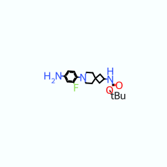 CC(C)(C)OC(=O)NC1CC2(CCN(c3ccc(N)cc3F)CC2)C1